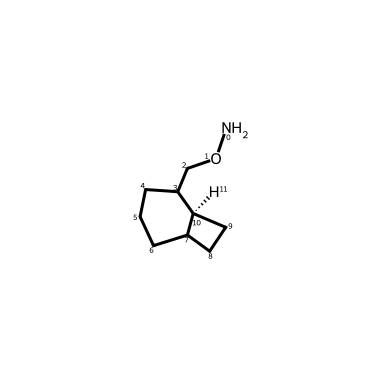 NOCC1CCCC2CC[C@@H]21